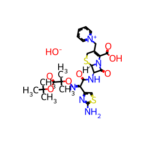 CC(C)(C)OC(=O)C(C)(C)O/N=C(\C(=O)N[C@@H]1C(=O)N2C(C(=O)O)=C(C[n+]3ccccc3)CS[C@H]12)c1csc(N)n1.[OH-]